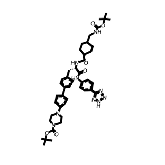 CC(C)(C)OC(=O)NCC1CCC(C(=O)N[C@@H](Cc2ccc(-c3ccc(N4CCN(C(=O)OC(C)(C)C)CC4)cc3)cc2)C(=O)Nc2ccc(-c3nn[nH]n3)cc2)CC1